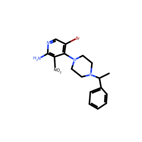 CC(c1ccccc1)N1CCN(c2c(Br)cnc(N)c2[N+](=O)[O-])CC1